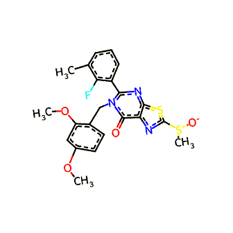 COc1ccc(Cn2c(-c3cccc(C)c3F)nc3sc([S+](C)[O-])nc3c2=O)c(OC)c1